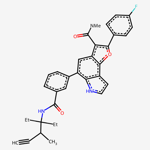 C#CC(C)C(CC)(CC)NC(=O)c1cccc(-c2cc3c(C(=O)NC)c(-c4ccc(F)cc4)oc3c3cc[nH]c23)c1